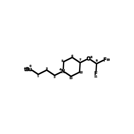 CC(C)(C)CCCN1CCC(OC(F)F)CC1